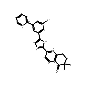 CC1(C)CCc2nc(-c3ncc(-c4cc(F)cc(-c5ccccn5)c4)s3)ccc2C1=O